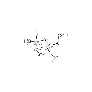 B[C@@H]1O[C@]2(COC)COC1CC2OC